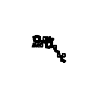 C=CC(=O)OCCOc1ccc(C(OC)(OC)c2ccccc2)cc1